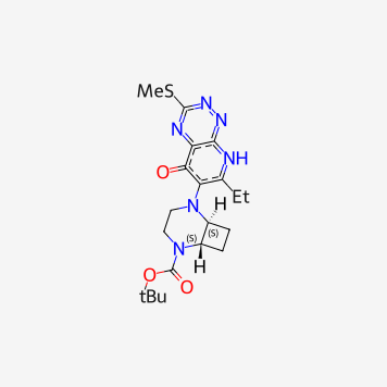 CCc1[nH]c2nnc(SC)nc2c(=O)c1N1CCN(C(=O)OC(C)(C)C)[C@H]2CC[C@@H]21